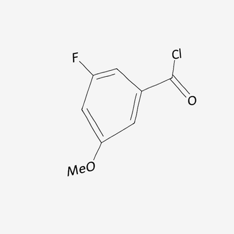 COc1cc(F)cc(C(=O)Cl)c1